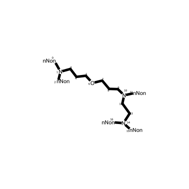 CCCCCCCCCN(CCCCCCCCC)CCCOCCCN(CCCCCCCCC)CCN(CCCCCCCCC)CCCCCCCCC